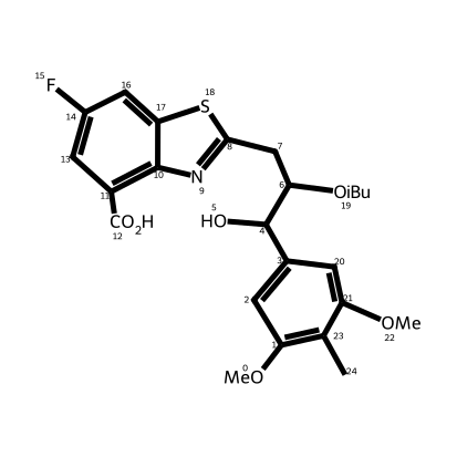 COc1cc(C(O)C(Cc2nc3c(C(=O)O)cc(F)cc3s2)OCC(C)C)cc(OC)c1C